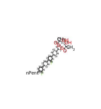 C=C(CO)C(=O)OCC(COC(=O)C(=C)CO)C1CCC(c2ccc(C3CCC(c4ccc(CCCCC)c(F)c4)CC3)c(F)c2)CC1